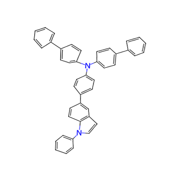 c1ccc(-c2ccc(N(c3ccc(-c4ccccc4)cc3)c3ccc(-c4ccc5c(ccn5-c5ccccc5)c4)cc3)cc2)cc1